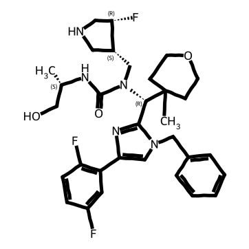 C[C@@H](CO)NC(=O)N(C[C@@H]1CNC[C@@H]1F)[C@@H](c1nc(-c2cc(F)ccc2F)cn1Cc1ccccc1)C1(C)CCOCC1